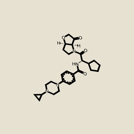 O=C(N[C@H](C(=O)N1CC[C@H]2OCC(=O)[C@H]21)C1CCCC1)c1ccc(N2CCN(C3CC3)CC2)cc1